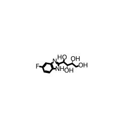 OC[C@@H](O)[C@H](O)C(O)c1nc2cc(F)ccc2[nH]1